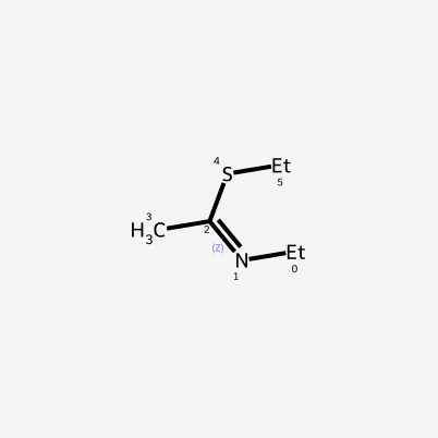 CC/N=C(/C)SCC